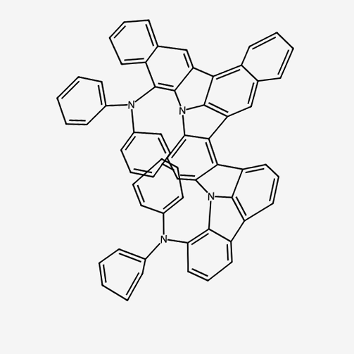 c1ccc(N(c2ccccc2)c2cccc3c4cccc5c6c7c8cc9ccccc9c9c%10cc%11ccccc%11c(N(c%11ccccc%11)c%11ccccc%11)c%10n(c7ccc6n(c23)c45)c89)cc1